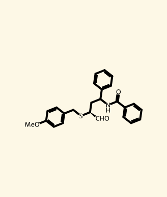 COc1ccc(CS[C@H](C=O)CC(NC(=O)c2ccccc2)c2ccccc2)cc1